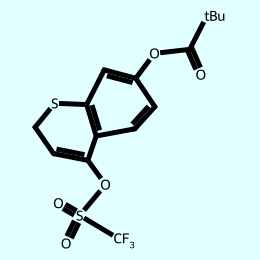 CC(C)(C)C(=O)Oc1ccc2c(c1)SCC=C2OS(=O)(=O)C(F)(F)F